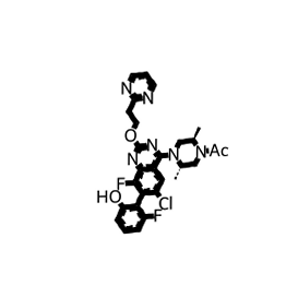 CC(=O)N1C[C@H](C)N(c2nc(OCCc3ncccn3)nc3c(F)c(-c4c(O)cccc4F)c(Cl)cc23)C[C@H]1C